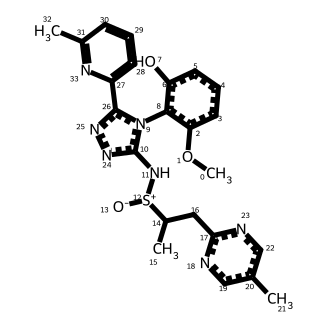 COc1cccc(O)c1-n1c(N[S+]([O-])C(C)Cc2ncc(C)cn2)nnc1C1=C=C=CC(C)=N1